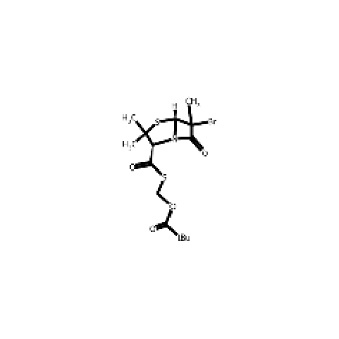 CC(C)(C)C(=O)OCSC(=O)[C@@H]1N2C(=O)C(C)(Br)[C@H]2SC1(C)C